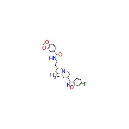 C=C[C@@H](CCNC(=O)c1ccc2c(c1)OCO2)CN1CCC(c2noc3cc(F)ccc23)CC1